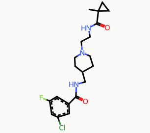 CC1(C(=O)NCCN2CCC(CNC(=O)c3cc(F)cc(Cl)c3)CC2)CC1